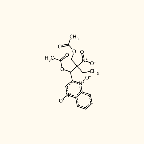 CCC(COC(C)=O)(C(OC(C)=O)c1c[n+]([O-])c2ccccc2[n+]1[O-])[N+](=O)[O-]